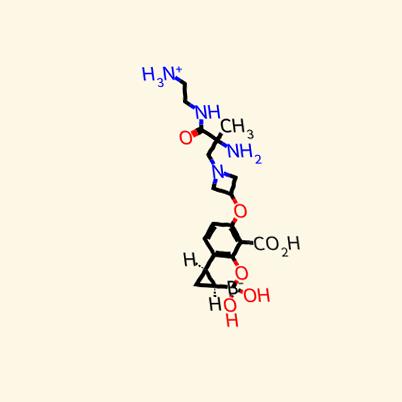 CC(N)(CN1CC(Oc2ccc3c(c2C(=O)O)O[B-](O)(O)[C@H]2C[C@@H]32)C1)C(=O)NCC[NH3+]